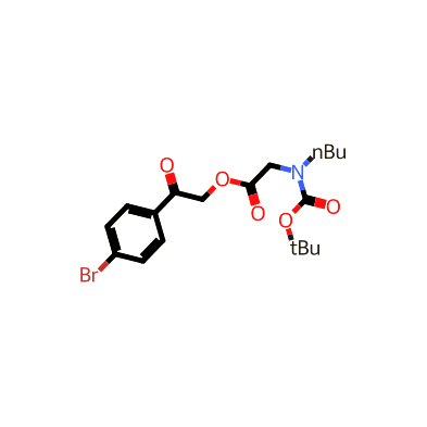 CCCCN(CC(=O)OCC(=O)c1ccc(Br)cc1)C(=O)OC(C)(C)C